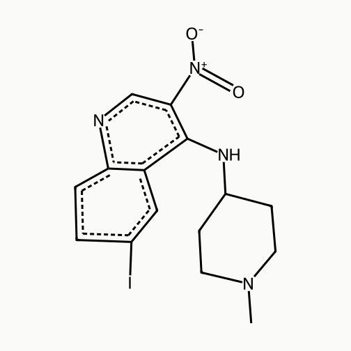 CN1CCC(Nc2c([N+](=O)[O-])cnc3ccc(I)cc23)CC1